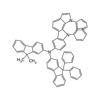 CC1(C)c2ccccc2-c2ccc(N(c3ccc4c(c3)C(c3ccccc3)(c3ccccc3)c3ccccc3-4)c3ccc4c(c3)c3ccc5ccn(-c6ccccc6)c5c3n4-c3ccccc3)cc21